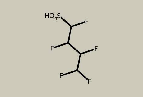 O=S(=O)(O)C(F)C(F)C(F)C(F)F